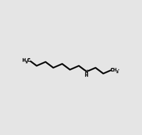 [CH2]CCNCCCCCCC